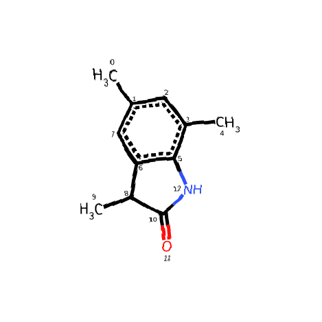 Cc1cc(C)c2c(c1)C(C)C(=O)N2